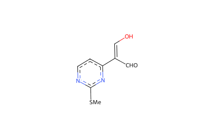 CSc1nccc(C(C=O)=CO)n1